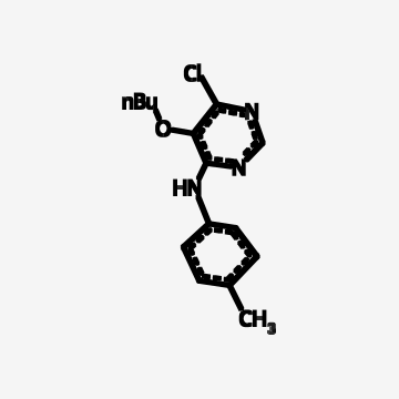 CCCCOc1c(Cl)ncnc1Nc1ccc(C)cc1